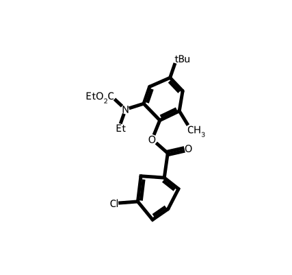 CCOC(=O)N(CC)c1cc(C(C)(C)C)cc(C)c1OC(=O)c1cccc(Cl)c1